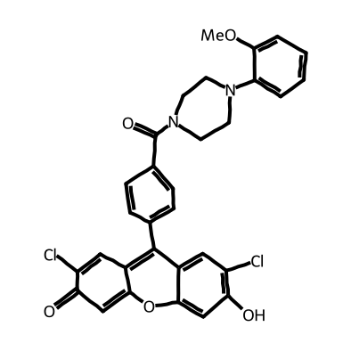 COc1ccccc1N1CCN(C(=O)c2ccc(-c3c4cc(Cl)c(=O)cc-4oc4cc(O)c(Cl)cc34)cc2)CC1